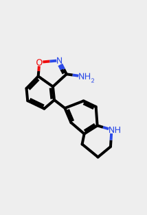 Nc1noc2cccc(-c3ccc4c(c3)CCCN4)c12